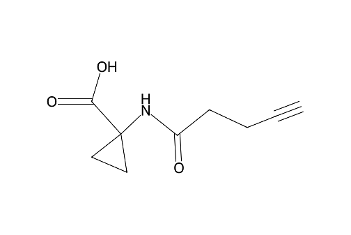 C#CCCC(=O)NC1(C(=O)O)CC1